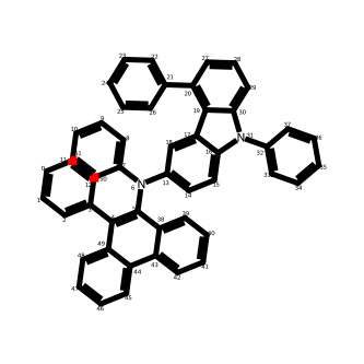 c1ccc(-c2c(N(c3ccccc3)c3ccc4c(c3)c3c(-c5ccccc5)cccc3n4-c3ccccc3)c3ccccc3c3ccccc23)cc1